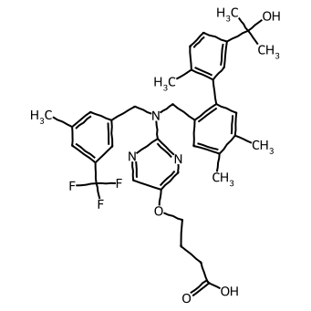 Cc1cc(CN(Cc2cc(C)c(C)cc2-c2cc(C(C)(C)O)ccc2C)c2ncc(OCCCC(=O)O)cn2)cc(C(F)(F)F)c1